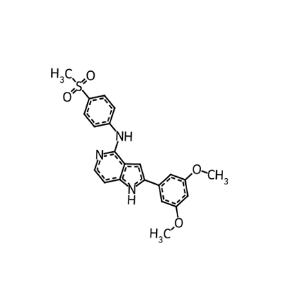 COc1cc(OC)cc(-c2cc3c(Nc4ccc(S(C)(=O)=O)cc4)nccc3[nH]2)c1